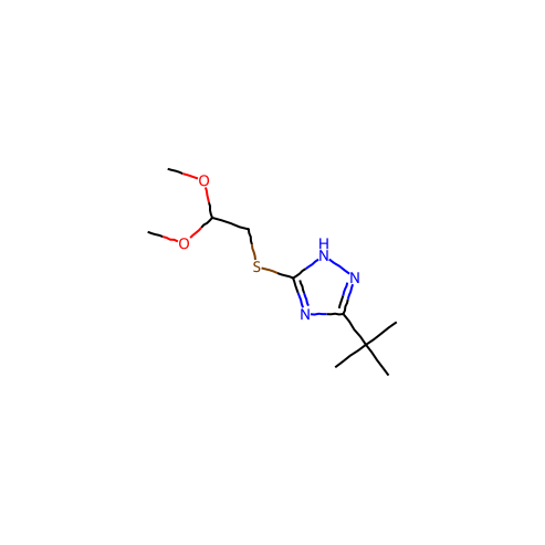 COC(CSc1nc(C(C)(C)C)n[nH]1)OC